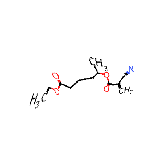 C=C(C#N)C(=O)OC(C)CCCC(=O)OCC